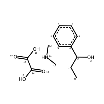 CCC(O)c1ccccc1.CNC.O=C(O)C(=O)O